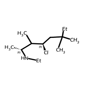 CCN[C@H](C)C(C)[C@H](Cl)CC(C)(C)CC